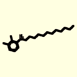 CCCCCCCCCCCC[SiH2]c1cccc(C)c1C